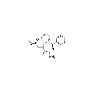 COC(=O)CN1C(=O)C(N)N=C(c2ccccc2)c2ccccc21